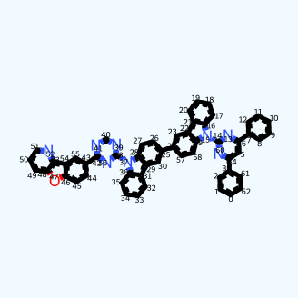 c1ccc(-c2cc(-c3ccccc3)nc(-n3c4ccccc4c4cc(-c5ccc6c(c5)c5ccccc5n6-c5ncnc(-c6ccc7oc8cccnc8c7c6)n5)ccc43)n2)cc1